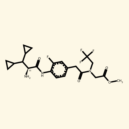 COC(=O)CN(CC(F)(F)F)C(=O)Cc1ccc(NC(=O)[C@@H](N)C(C2CC2)C2CC2)c(F)c1